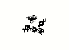 CC(C)c1nc(N2CCC(N3C[C@H](C)OC[C@@H]3Cc3ccc(Cl)cc3)CC2)no1.O=C(O)C(F)(F)F